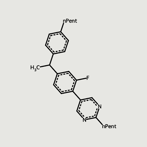 CCCCCc1ccc(C(C)c2ccc(-c3cnc(CCCCC)nc3)c(F)c2)cc1